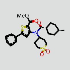 COC(=O)c1sc(-c2ccccc2)cc1N(C(=O)[C@H]1CC[C@H](C)CC1)C1CCS(=O)(=O)CC1